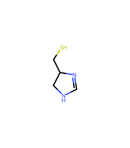 SCC1CNC=N1